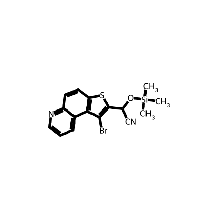 C[Si](C)(C)OC(C#N)c1sc2ccc3ncccc3c2c1Br